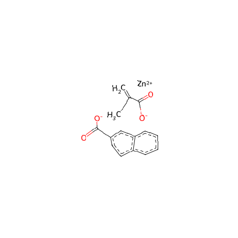 C=C(C)C(=O)[O-].O=C([O-])c1ccc2ccccc2c1.[Zn+2]